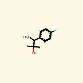 CC(C)(O)C(C(=O)O)c1ccc(F)cc1